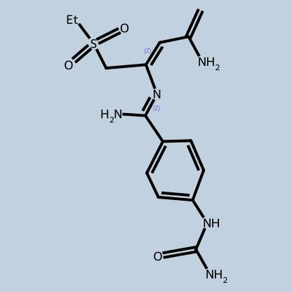 C=C(N)/C=C(CS(=O)(=O)CC)\N=C(/N)c1ccc(NC(N)=O)cc1